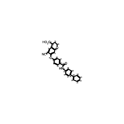 N#Cc1cc2c(cc1Oc1ccc(C(=O)Nc3ccc(-c4ccccc4)cc3)cc1)OCCC2C(=O)O